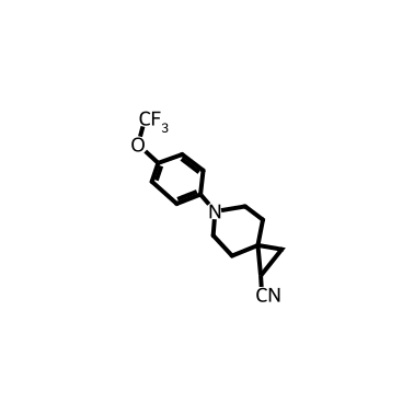 N#CC1CC12CCN(c1ccc(OC(F)(F)F)cc1)CC2